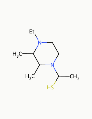 CCN1CCN(C(C)S)C(C)C1C